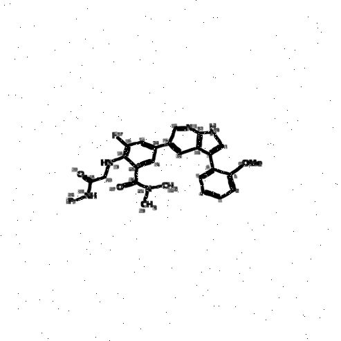 COc1ccccc1-c1c[nH]c2ncc(-c3cc(F)c(NCC(=O)NC(C)C)c(C(=O)N(C)C)c3)cc12